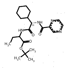 CCC(NC(=O)[C@@H](NC(=O)c1cnccn1)C1CCCCC1)C(=O)OC(C)(C)C